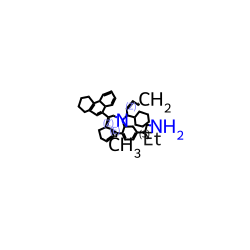 C=C/C=C\C(C1CCCCC1)N1C/C(C2=CC3=C(CCCC3)C3C=CC=CC23)=C2/CCC=C/C2=C(/C)C2=CC=C([C@H](CC)CN)CC21